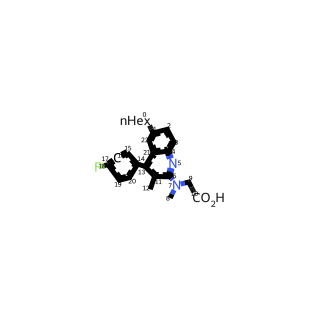 CCCCCCc1ccc2nc(N(C)CC(=O)O)c(C)c(-c3ccc(F)cc3)c2c1